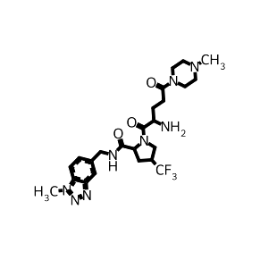 CN1CCN(C(=O)CCC(N)C(=O)N2CC(C(F)(F)F)CC2C(=O)NCc2ccc3c(c2)nnn3C)CC1